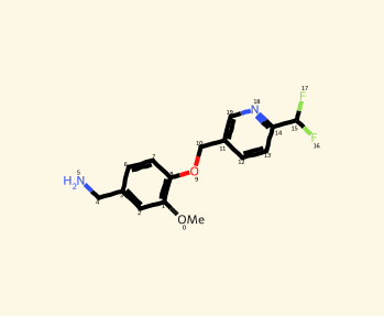 COc1cc(CN)ccc1OCc1ccc(C(F)F)nc1